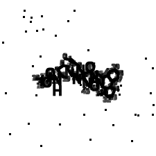 CC#CCn1c(N2CCC[C@@H](NC(=O)OC(C)(C)C)C2)nc2c1c(=O)n(Cc1nc3c(C)cccc3c3ccccc13)c(=O)n2C